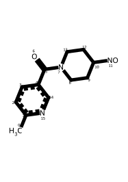 Cc1ccc(C(=O)N2CCC(N=O)CC2)cn1